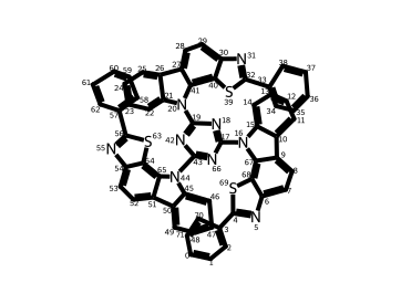 c1ccc(-c2nc3ccc4c5ccccc5n(-c5nc(-n6c7ccccc7c7ccc8nc(-c9ccccc9)sc8c76)nc(-n6c7ccccc7c7ccc8nc(-c9ccccc9)sc8c76)n5)c4c3s2)cc1